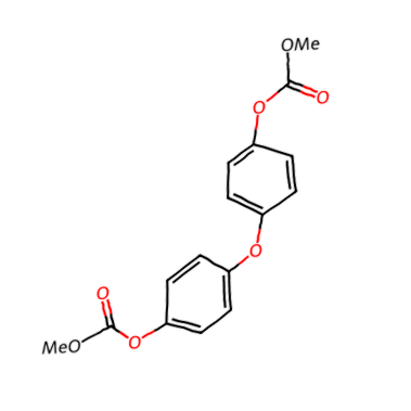 COC(=O)Oc1ccc(Oc2ccc(OC(=O)OC)cc2)cc1